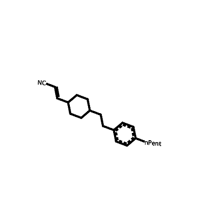 CCCCCc1ccc(CCC2CCC(C=CC#N)CC2)cc1